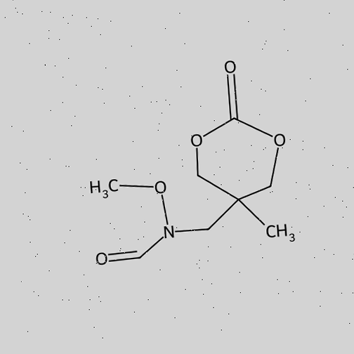 CON(C=O)CC1(C)COC(=O)OC1